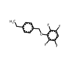 CCc1ccc(COc2c(F)c(F)cc(F)c2F)cc1